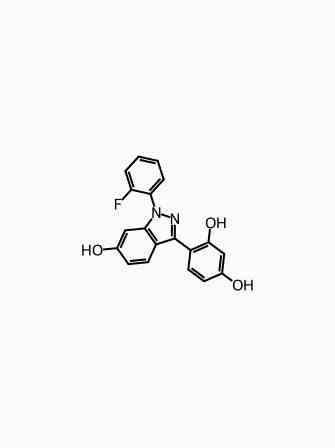 Oc1ccc(-c2nn(-c3ccccc3F)c3cc(O)ccc23)c(O)c1